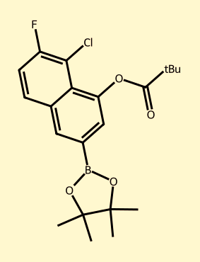 CC(C)(C)C(=O)Oc1cc(B2OC(C)(C)C(C)(C)O2)cc2ccc(F)c(Cl)c12